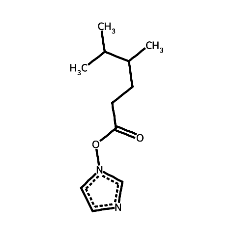 CC(C)C(C)CCC(=O)On1ccnc1